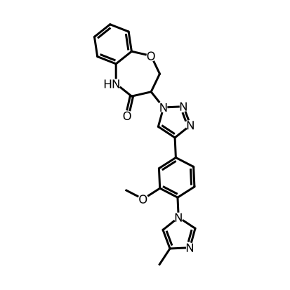 COc1cc(-c2cn(C3COc4ccccc4NC3=O)nn2)ccc1-n1cnc(C)c1